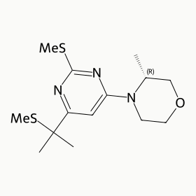 CSc1nc(N2CCOC[C@H]2C)cc(C(C)(C)SC)n1